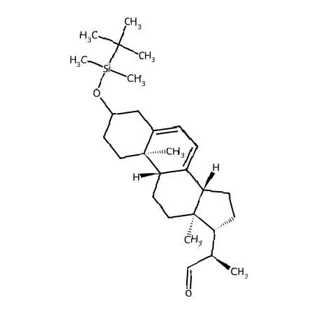 C[C@@H](C=O)[C@H]1CC[C@H]2C3=CC=C4CC(O[Si](C)(C)C(C)(C)C)CC[C@]4(C)[C@H]3CC[C@]12C